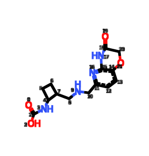 O=C(O)NC1CCC1CNCc1ccc2c(n1)NC(=O)CO2